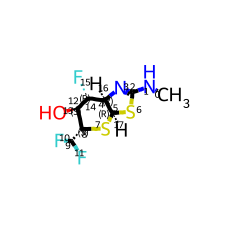 CNC1=N[C@H]2[C@@H](S1)S[C@H](C(F)F)[C@@H](O)[C@@H]2F